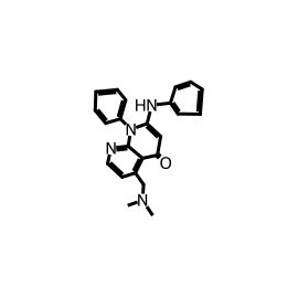 CN(C)Cc1ccnc2c1c(=O)cc(Nc1ccccc1)n2-c1ccccc1